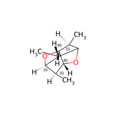 C[C@@H]1[C@H]2OC3[C@@H](C)[C@@H]1O[C@@H]2[C@H]3C